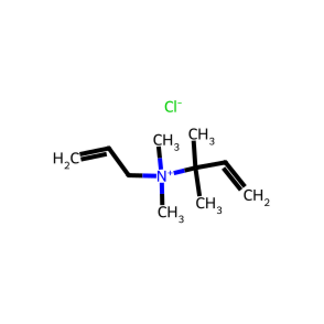 C=CC[N+](C)(C)C(C)(C)C=C.[Cl-]